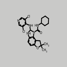 CC1(C)Cc2c(ccc3c2N(C(=O)NC2CCCCC2)C(Nc2c(Cl)cncc2Cl)N3)O1